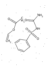 C=COC(C)=O.NC(=O)NS(=O)(=O)c1ccccc1